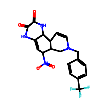 O=C1NC2=CC([N+](=O)[O-])C3CN(Cc4ccc(C(F)(F)F)cc4)C=CC3C2NC1=O